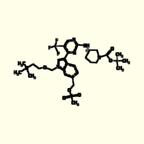 CC(C)(C)OC(=O)N1CCC[C@H](Nc2ncc(C(F)(F)F)c(-c3cn(COCC[Si](C)(C)C)c4cc(COS(C)(=O)=O)ccc34)n2)C1